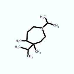 CC(C)N1CCC(C)C(C)(C(C)C)CC1